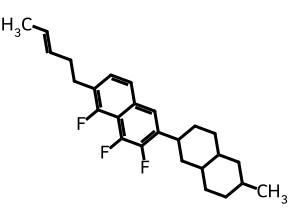 CC=CCCc1ccc2cc(C3CCC4CC(C)CCC4C3)c(F)c(F)c2c1F